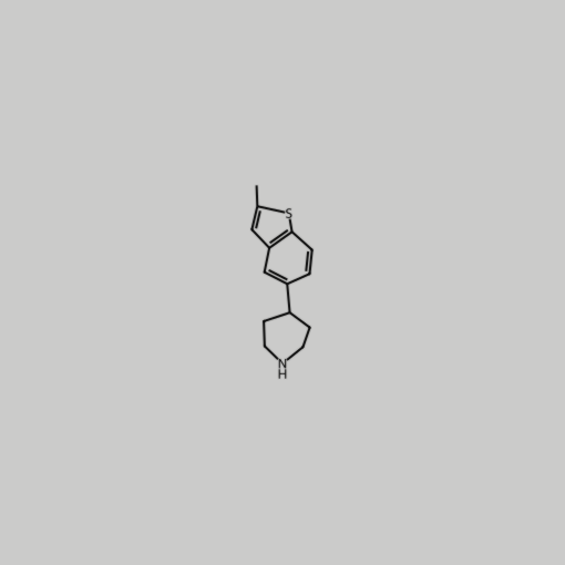 Cc1cc2cc(C3CCNCC3)ccc2s1